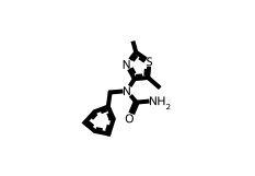 Cc1nc(N(Cc2ccccc2)C(N)=O)c(C)s1